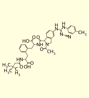 CC(=O)N1Cc2cc(NC(=NC#N)Nc3ccc(C)cc3)ccc2C1C(=O)NC(Cc1ccccc1CC(NC(=O)CC(C)(C)C)C(=O)O)C(=O)O